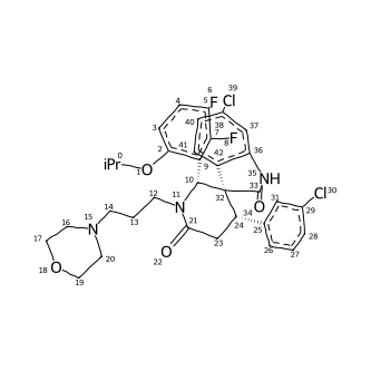 CC(C)Oc1ccc(F)c(F)c1[C@H]1N(CCCN2CCOCC2)C(=O)C[C@@H](c2cccc(Cl)c2)[C@]12C(=O)Nc1cc(Cl)ccc12